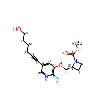 CC(C)(C)OC(=O)N1CC[C@H]1COc1cc(C#CCCCCO)cnc1F